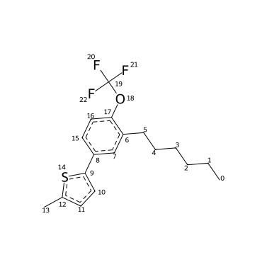 CCCCCCc1cc(-c2ccc(C)s2)ccc1OC(F)(F)F